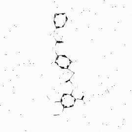 COc1cc(NC(=O)Cc2ccc(NC(=O)Nc3ccccc3)cc2)c(C(C)=O)cc1OC